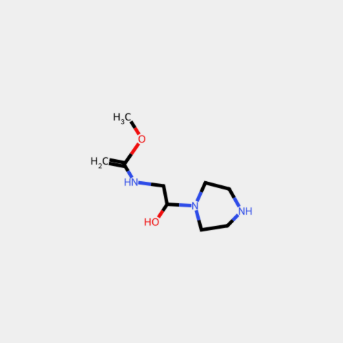 C=C(NCC(O)N1CCNCC1)OC